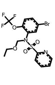 CCOCN(c1cc(Br)ccc1OC(F)(F)F)S(=O)(=O)c1ccccn1